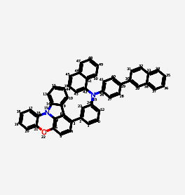 c1cc(-c2ccc3c4c2c2ccccc2n4-c2ccccc2O3)cc(N(c2ccc(-c3ccc4ccccc4c3)cc2)c2cccc3ccccc23)c1